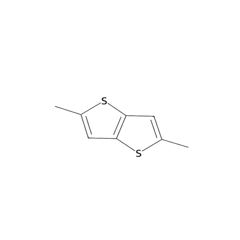 Cc1cc2sc(C)cc2s1